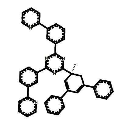 C[C@@]1(c2nc(-c3cccc(-c4ccccn4)c3)nc(-c3cccc(-c4ccccn4)c3)n2)C=C(c2ccccc2)C=C(c2ccccc2)C1